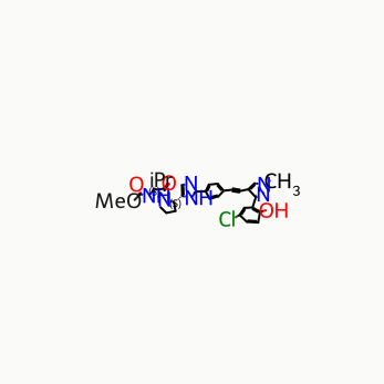 COC(=O)N[C@H](C(=O)N1CCC[C@H]1c1cnc(-c2ccc(C#Cc3cn(C)nc3-c3cc(Cl)ccc3O)cc2)[nH]1)C(C)C